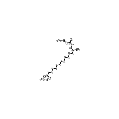 CCCCCOC(=O)CCCCCCCCCCCCC(CCC(=O)OCCCCC)C(C)C